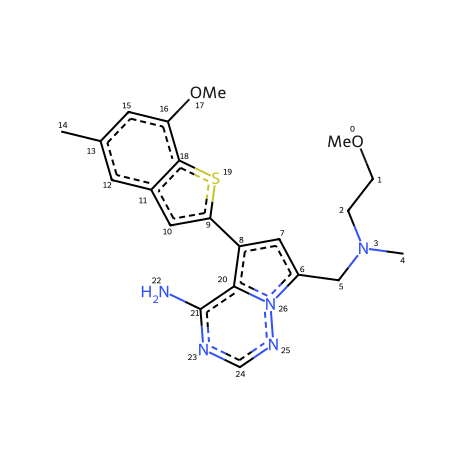 COCCN(C)Cc1cc(-c2cc3cc(C)cc(OC)c3s2)c2c(N)ncnn12